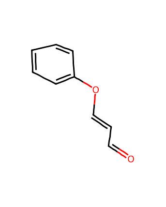 O=C/C=C/Oc1ccccc1